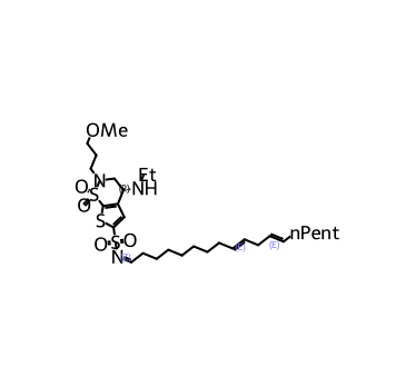 CCCCC/C=C/C/C=C/CCCCCCC/C=N\S(=O)(=O)c1cc2c(s1)S(=O)(=O)N(CCCOC)C[C@@H]2NCC